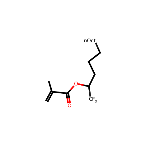 C=C(C)C(=O)OC(CCCCCCCCCCC)C(F)(F)F